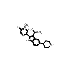 CC(C)c1c(-c2cn(C)c(=O)cn2)[nH]c2ccc(C3CCNCC3)cc12